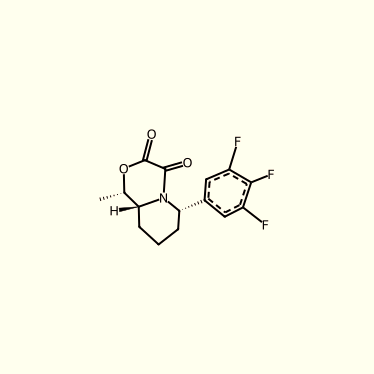 C[C@@H]1OC(=O)C(=O)N2[C@@H]1CCC[C@H]2c1cc(F)c(F)c(F)c1